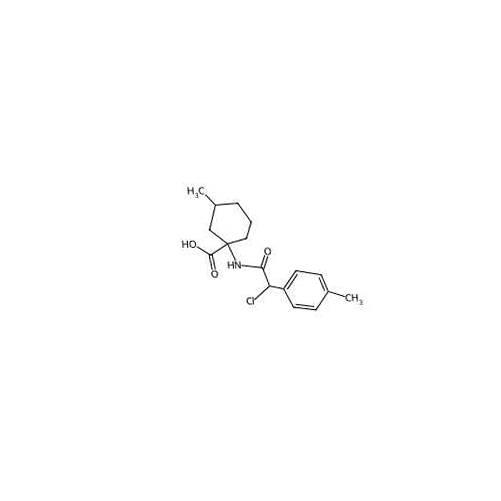 Cc1ccc(C(Cl)C(=O)NC2(C(=O)O)CCCC(C)C2)cc1